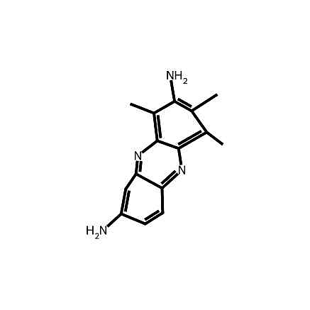 Cc1c(N)c(C)c2nc3cc(N)ccc3nc2c1C